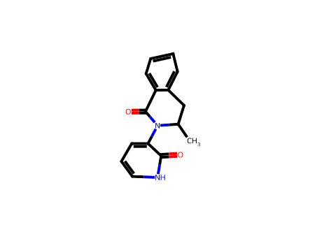 CC1Cc2ccccc2C(=O)N1c1ccc[nH]c1=O